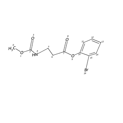 COC(=O)NCCC(=O)Oc1ccccc1Br